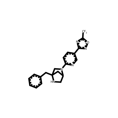 FC(F)(F)c1nc(-c2ccc(N3CC4(Cc5ccccc5)CC3CN4)nc2)no1